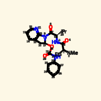 CC[C@H](NC)C(=O)N[C@H](C(=O)N1c2ncccc2C[C@@H]1OC(=O)Nc1ccccc1)C(C)C